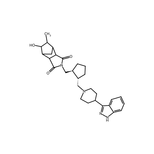 CC1C(O)C2CC1C1C(=O)N(C[C@H]3CCC[C@@H]3CN3CCC(c4n[nH]c5ccccc45)CC3)C(=O)C21